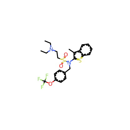 CCN(CC)CCS(=O)(=O)N(Cc1ccc(OC(F)(F)F)cc1)c1sc2ccccc2c1C